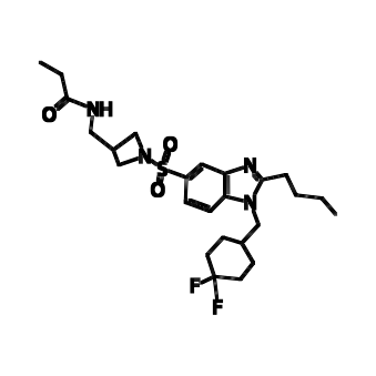 CCCCc1nc2cc(S(=O)(=O)N3CC(CNC(=O)CC)C3)ccc2n1CC1CCC(F)(F)CC1